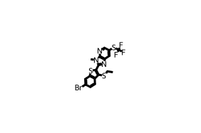 CCSc1c(-c2nc3cc(SC(F)(F)F)cnc3n2C)sc2cc(Br)ccc12